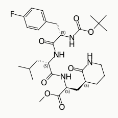 COC(=O)[C@H](C[C@@H]1CCCNC1=O)NC(=O)[C@H](CC(C)C)NC(=O)[C@H](Cc1ccc(F)cc1)NC(=O)OC(C)(C)C